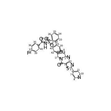 CCCCc1nc2nc(-c3ccncc3)sc2c(=O)n1Cc1ccc(-c2ccccc2S(=O)(=O)NC(=O)c2ccc(F)cc2)cc1